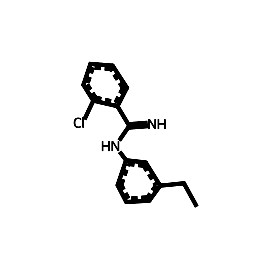 CCc1cccc(NC(=N)c2ccccc2Cl)c1